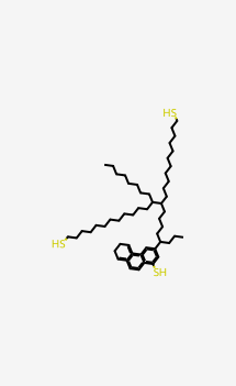 CCCCCCCCC(CCCCCCCCCCCCS)C(CCCCCCCCCCCS)CCCCC(CCC)c1cc(S)c2ccc3c(c2c1)=CCCC=3